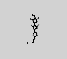 C=CCCC1CCC(c2cc(F)c(-c3cc(F)c(CF)c(F)c3)c(F)c2)CC1